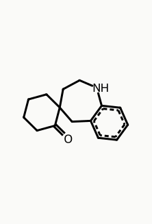 O=C1CCCCC12CCNc1ccccc1C2